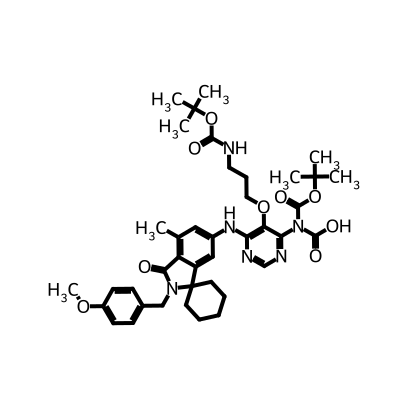 COc1ccc(CN2C(=O)c3c(C)cc(Nc4ncnc(N(C(=O)O)C(=O)OC(C)(C)C)c4OCCCNC(=O)OC(C)(C)C)cc3C23CCCCC3)cc1